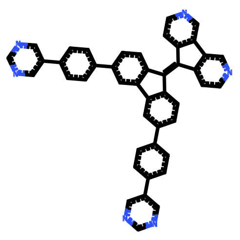 c1cc2c(cn1)-c1cnccc1C2=C1c2ccc(-c3ccc(-c4cncnc4)cc3)cc2-c2cc(-c3ccc(-c4cncnc4)cc3)ccc21